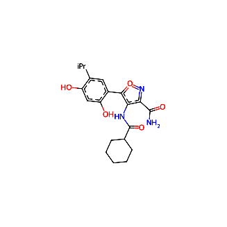 CC(C)c1cc(-c2onc(C(N)=O)c2NC(=O)C2CCCCC2)c(O)cc1O